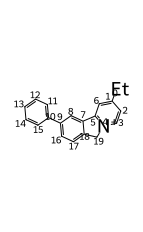 CCc1cc[n+]2c(c1)-c1cc(-c3ccccc3)ccc1C2